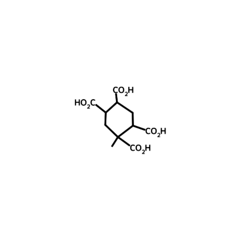 CC1(C(=O)O)CC(C(=O)O)C(C(=O)O)CC1C(=O)O